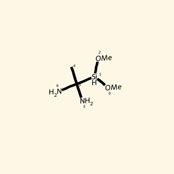 CO[SiH](OC)C(C)(N)N